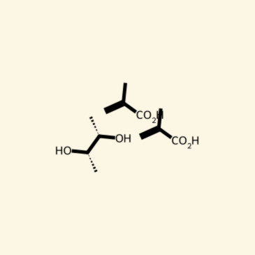 C=C(C)C(=O)O.C=C(C)C(=O)O.C[C@H](O)[C@H](C)O